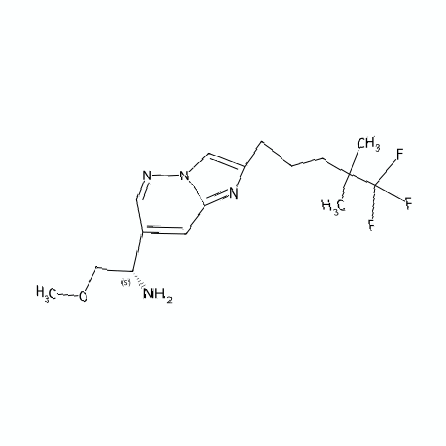 COC[C@@H](N)c1cnn2cc(CCCC(C)(C)C(F)(F)F)nc2c1